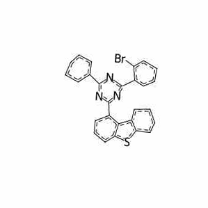 Brc1ccccc1-c1nc(-c2ccccc2)nc(-c2cccc3sc4ccccc4c23)n1